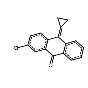 O=C1c2ccccc2C(=C2CC2)c2ccc(Cl)cc21